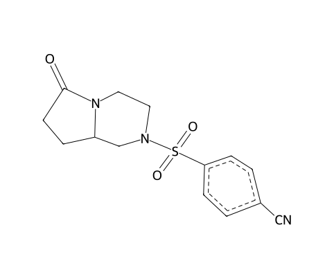 N#Cc1ccc(S(=O)(=O)N2CCN3C(=O)CCC3C2)cc1